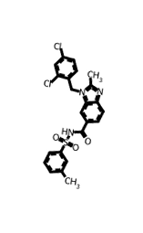 Cc1cccc(S(=O)(=O)NC(=O)c2ccc3nc(C)n(Cc4ccc(Cl)cc4Cl)c3c2)c1